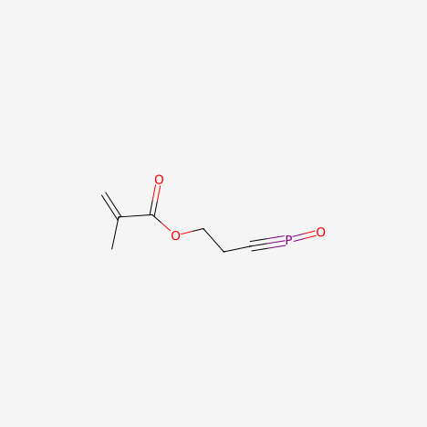 C=C(C)C(=O)OCCC#P=O